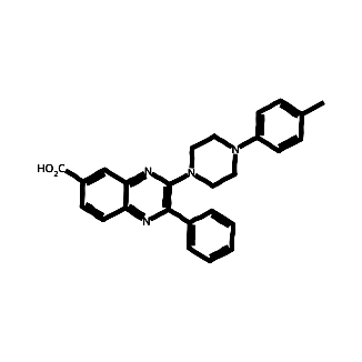 Cc1ccc(N2CCN(c3nc4cc(C(=O)O)ccc4nc3-c3ccccc3)CC2)cc1